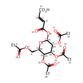 CCC(=O)OC[C@H]1O[C@@H](OC(=O)/C=C/C(=O)O)[C@H](OC(=O)CC)[C@@H](OC(=O)CC)[C@H]1OC(=O)CC